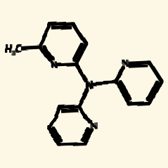 Cc1cccc(N(c2ccccn2)c2ccccn2)n1